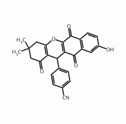 CC1(C)CC(=O)C2=C(C1)OC1=C(C(=O)c3cc(O)ccc3C1=O)C2c1ccc(C#N)cc1